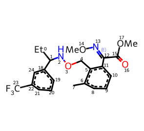 CCC(NOCc1c(C)cccc1/C(=N\OC)C(=O)OC)c1cccc(C(F)(F)F)c1